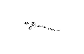 CCCCCCCCCCCCCCC=CCC[C@H](O)C(=O)O